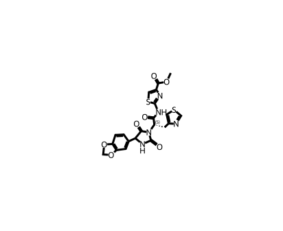 COC(=O)c1csc(NC(=O)[C@H](Cc2cscn2)N2C(=O)NC(c3ccc4c(c3)OCO4)C2=O)n1